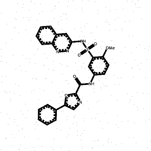 COc1ccc(NC(=O)c2ncc(-c3ccccc3)o2)cc1S(=O)(=O)Nc1cc2ccccc2nn1